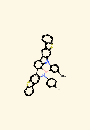 CC(C)(C)c1ccc(N2B3c4cc(C(C)(C)C)ccc4-n4c5cc6sc7ccccc7c6cc5c5ccc(c3c54)-c3cc4sc5ccccc5c4cc32)cc1